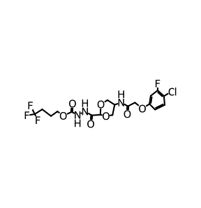 O=C(COc1ccc(Cl)c(F)c1)NC1COC(C(=O)NNC(=O)OCCCC(F)(F)F)OC1